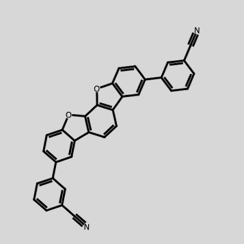 N#Cc1cccc(-c2ccc3oc4c(ccc5c6cc(-c7cccc(C#N)c7)ccc6oc54)c3c2)c1